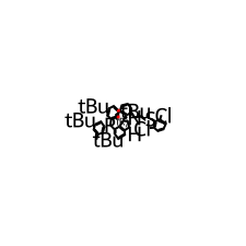 CC(C)(C)c1cc(P(c2cc(C(C)(C)C)cc(C(C)(C)C)c2)c2cccc3c2[C@]2(CCc4cccc(NCCSc5c(Cl)cccc5Cl)c42)CC3)cc(C(C)(C)C)c1